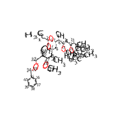 CCC(=O)O[C@@H](CC[C@H](C)[C@H](C[C@@H](CC)O[Si](C)(C)C(C)(C)C)OC)[C@H](C)[C@H](OC)[C@H](C)COCc1ccccc1